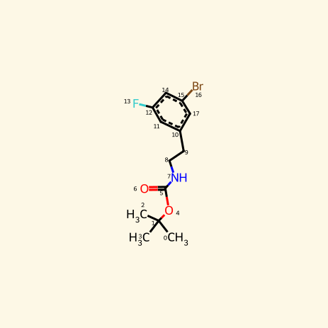 CC(C)(C)OC(=O)NCCc1cc(F)cc(Br)c1